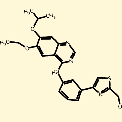 CCOc1cc2c(Nc3cccc(-c4csc(CO)n4)c3)ncnc2cc1OC(C)C